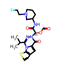 CC(C)c1nn([C@H](OC=O)C(=O)NC2CCCN(CCF)C2)c(=O)c2cc3ccsc3n12